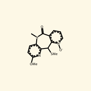 COc1ccc2c(n1)C(SC)c1c(ccc[n+]1[O-])C(=O)N2C